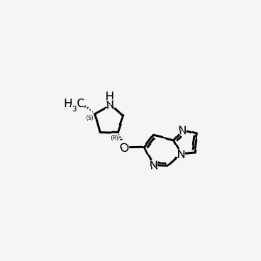 C[C@H]1C[C@@H](Oc2cc3nccn3cn2)CN1